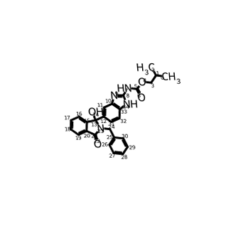 CC(C)COC(=O)Nc1nc2cc(C3(O)c4ccccc4C(=O)N3Cc3ccccc3)ccc2[nH]1